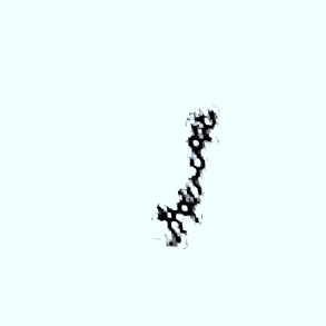 CNC(=O)N1Cc2c(c(-c3cc(OC)c(CN4CCN(CCC5CCN(c6ccc7c(c6)C(=O)N(C6CCC(=O)NC6=O)C7=O)CC5)CC4)c(OC)c3)cn(C)c2=O)CC1C